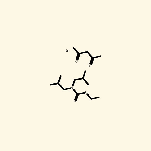 CC(=O)CC(C)=O.CCSC(=O)N(CC(C)C)CC(C)C.[Zr]